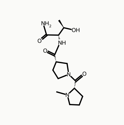 C[C@@H](O)[C@H](NC(=O)[C@H]1CCN(C(=O)[C@@H]2CCCN2C)C1)C(N)=O